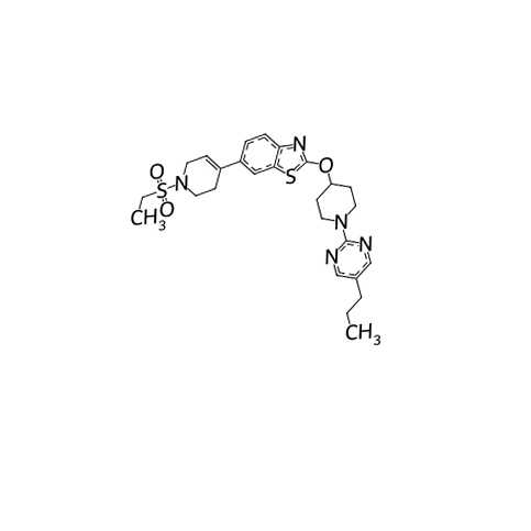 CCCc1cnc(N2CCC(Oc3nc4ccc(C5=CCN(S(=O)(=O)CC)CC5)cc4s3)CC2)nc1